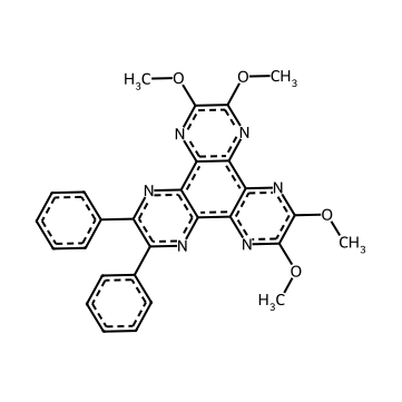 COc1nc2c3nc(OC)c(OC)nc3c3nc(-c4ccccc4)c(-c4ccccc4)nc3c2nc1OC